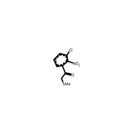 CSCC(=O)c1cccc(Cl)c1[N+](=O)[O-]